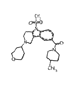 CC1CCN(C(=O)c2ccc3c(c2)c2c(n3S(C)(=O)=O)CCN(C3CCOCC3)C2)CC1